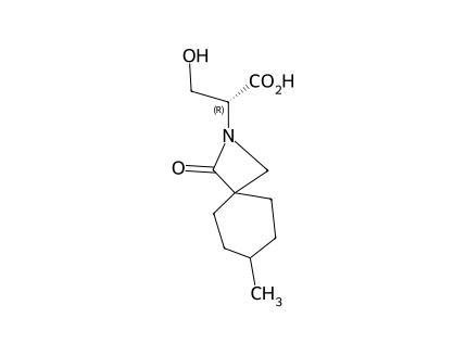 CC1CCC2(CC1)CN([C@H](CO)C(=O)O)C2=O